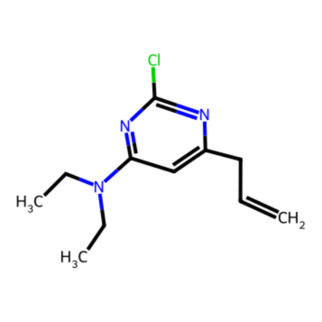 C=CCc1cc(N(CC)CC)nc(Cl)n1